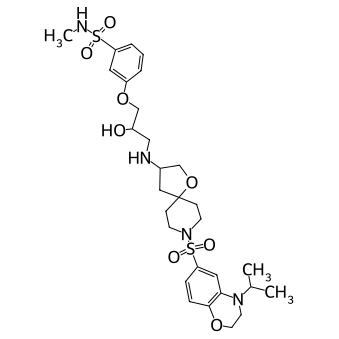 CNS(=O)(=O)c1cccc(OCC(O)CNC2COC3(CCN(S(=O)(=O)c4ccc5c(c4)N(C(C)C)CCO5)CC3)C2)c1